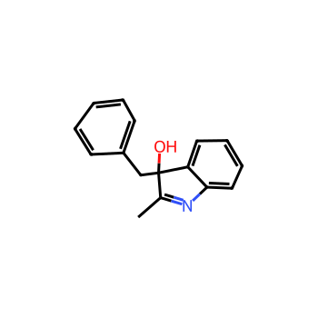 CC1=Nc2ccccc2C1(O)Cc1ccccc1